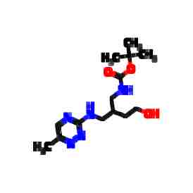 Cc1cnc(NCC(CCO)CNC(=O)OC(C)(C)C)nn1